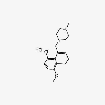 COc1ccc(Cl)c2c1CCC=C2CN1CCN(C)CC1.Cl